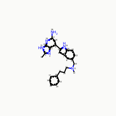 Cc1nc2c(-c3cc4cc(CN(C)CCCc5ccccc5)ccc4[nH]3)cc(N)nc2[nH]1